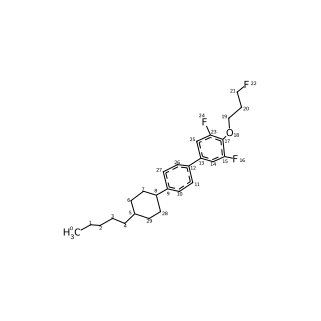 CCCCCC1CCC(c2ccc(-c3cc(F)c(OCCCF)c(F)c3)cc2)CC1